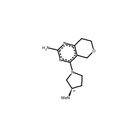 CN[C@@H]1CCN(c2nc(N)nc3c2COCC3)C1